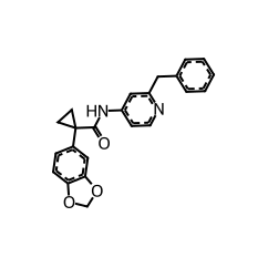 O=C(Nc1ccnc(Cc2ccccc2)c1)C1(c2ccc3c(c2)OCO3)CC1